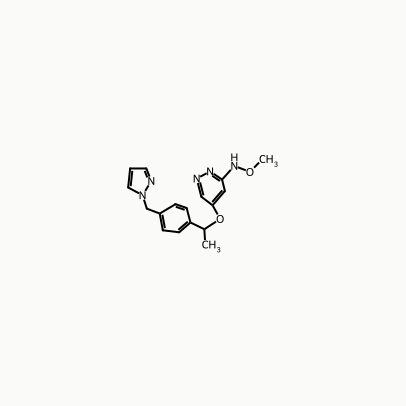 CONc1cc(OC(C)c2ccc(Cn3cccn3)cc2)cnn1